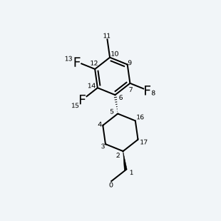 CC[C@H]1CC[C@H](c2c(F)cc(C)c(F)c2F)CC1